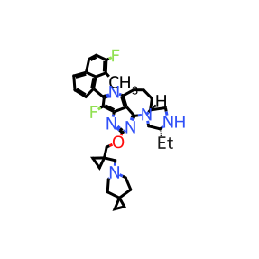 CC[C@@H]1CN2c3nc(OCC4(CN5CCC6(CC5)CC6)CC4)nc4c(F)c(-c5cccc6ccc(F)c(C)c56)nc(c34)CCC[C@@H]2CN1